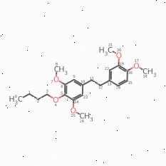 CCCCOc1c(OC)cc(CCc2ccc(OC)c(OC)c2)cc1OC